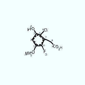 COc1cc(O)c(Cl)c(CC(=O)O)c1F